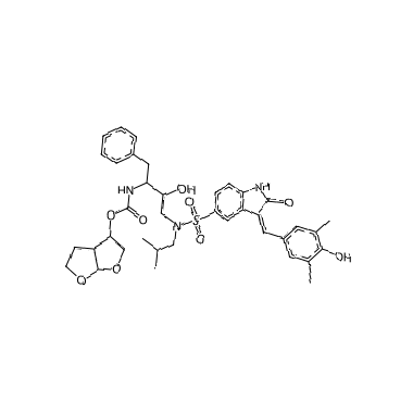 Cc1cc(C=C2C(=O)Nc3ccc(S(=O)(=O)N(CC(C)C)CC(O)C(Cc4ccccc4)NC(=O)OC4COC5OCCC45)cc32)cc(C)c1O